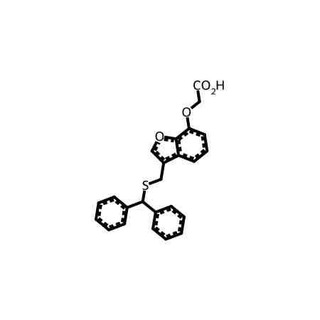 O=C(O)COc1cccc2c(CSC(c3ccccc3)c3ccccc3)coc12